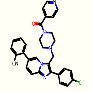 N#Cc1ccccc1-c1ccc2nc(-c3ccc(Cl)cc3)c(CN3CCN(C(=O)c4ccncc4)CC3)n2c1